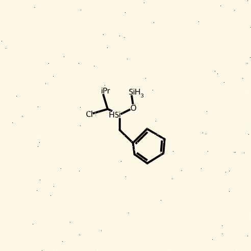 CC(C)C(Cl)[SiH](Cc1ccccc1)O[SiH3]